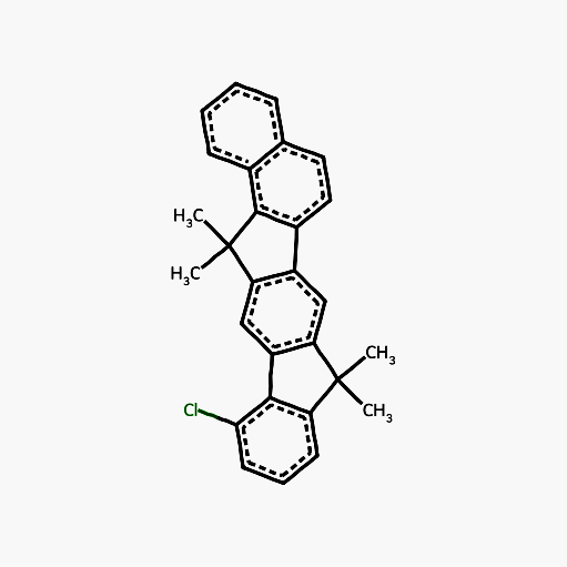 CC1(C)c2cc3c(cc2-c2c(Cl)cccc21)C(C)(C)c1c-3ccc2ccccc12